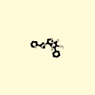 Cc1c(-c2ccccc2)[nH]c2c(-n3cnc(-c4ccccn4)c3)cnn2c1=O